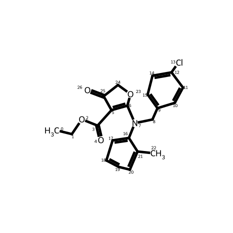 CCOC(=O)C1=C(N(Cc2ccc(Cl)cc2)c2ccccc2C)OCC1=O